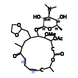 COC1C(OC(C)=O)CC(=O)OC(C)C/C=C\C=C\C(=O)C(C)CC(CC2OCCO2)C1O[C@@H]1O[C@H](C)[C@@H](O)[C@H](N(C)C)[C@H]1O